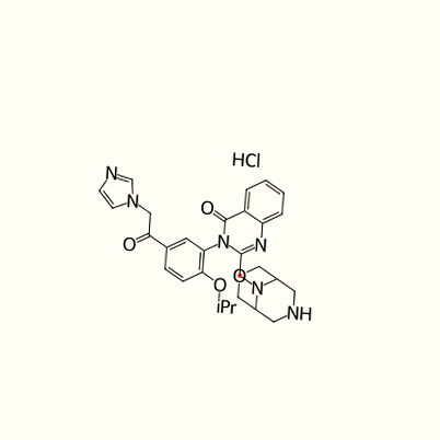 CC(C)Oc1ccc(C(=O)Cn2ccnc2)cc1-n1c(CN2C3CNCC2COC3)nc2ccccc2c1=O.Cl